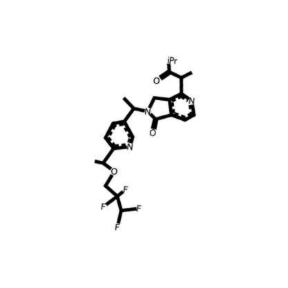 CC(C)C(=O)C(C)c1nccc2c1CN(C(C)c1ccc(C(C)OCC(F)(F)C(F)F)nc1)C2=O